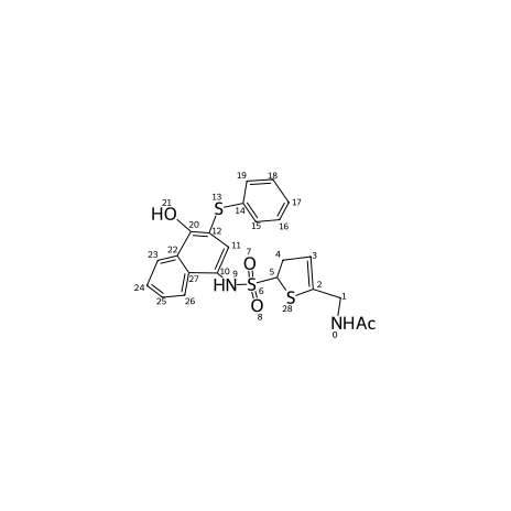 CC(=O)NCC1=CCC(S(=O)(=O)Nc2cc(Sc3ccccc3)c(O)c3ccccc23)S1